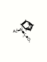 CC(=O)N=C=O.c1cc2ccc1o2